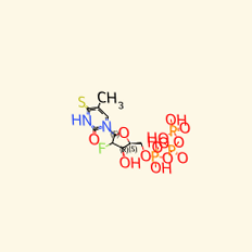 Cc1cn([C@H]2O[C@@H](COP(=O)(O)OP(=O)(O)OP(=O)(O)O)[C@@H](O)C2F)c(=O)[nH]c1=S